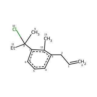 C=CCc1cccc(C(C)(Cl)CC)c1C